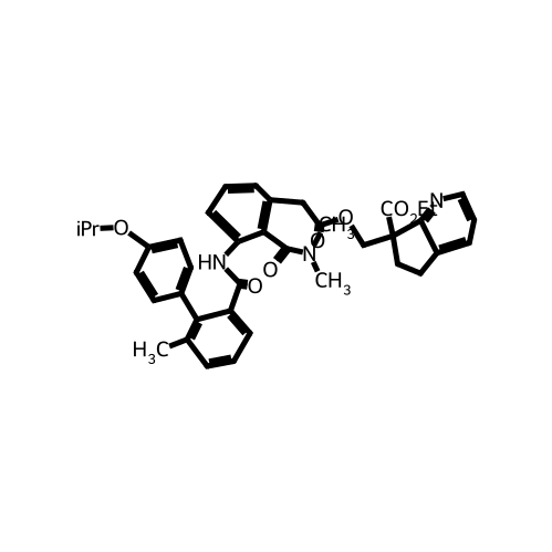 CCOC(=O)C1(COC(=O)Cc2cccc(NC(=O)c3cccc(C)c3-c3ccc(OC(C)C)cc3)c2C(=O)N(C)C)CCc2cccnc21